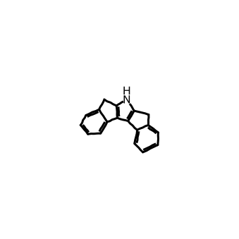 c1ccc2c(c1)Cc1[nH]c3c(c1-2)-c1ccccc1C3